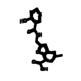 Cc1cc(C(=O)O)c2oc(CNC(=O)c3cncnc3O)cc2c1